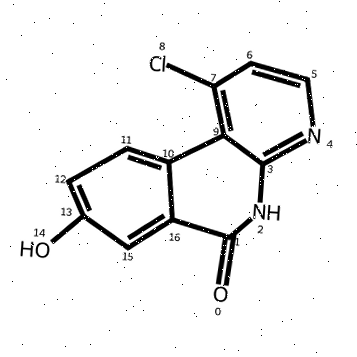 O=c1[nH]c2nccc(Cl)c2c2ccc(O)cc12